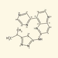 CC(C)c1nnc(Nc2ccc3nccc(-c4cnccn4)c3n2)s1